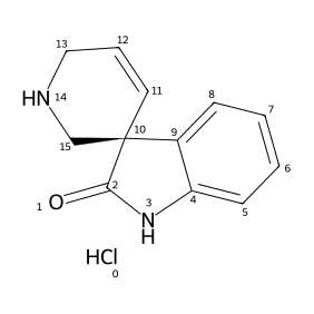 Cl.O=C1Nc2ccccc2[C@@]12C=CCNC2